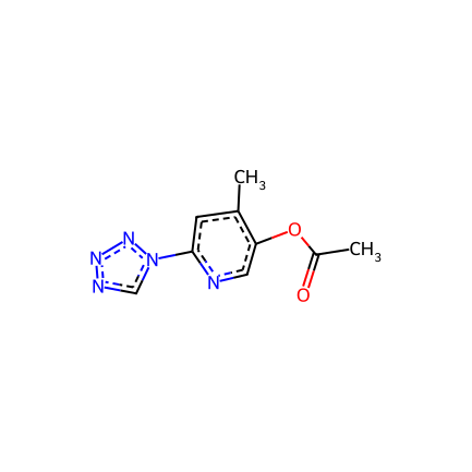 CC(=O)Oc1cnc(-n2cnnn2)cc1C